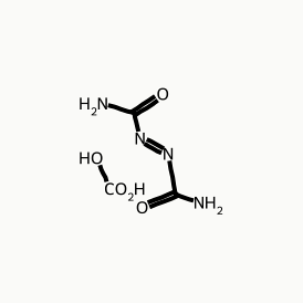 NC(=O)N=NC(N)=O.O=C(O)O